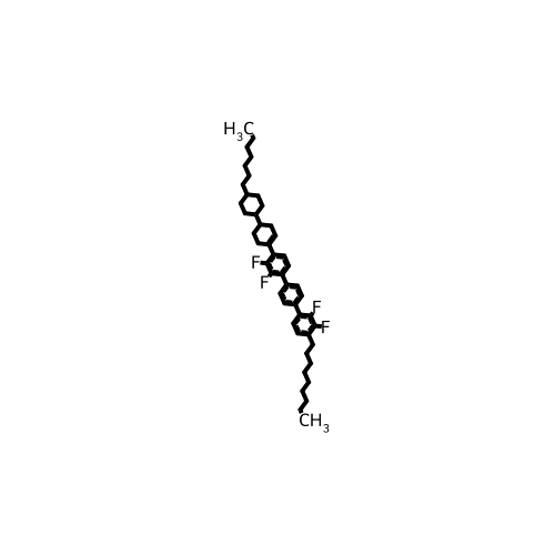 CCCCCCCCCc1ccc(-c2ccc(-c3ccc(C4=CCC(C5CCC(CCCCCCC)CC5)CC4)c(F)c3F)cc2)c(F)c1F